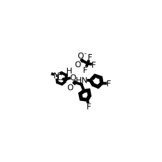 C[N+]12CCC(CC1)[C@@H](OC(=O)C(Nc1ccc(F)cc1)c1ccc(F)cc1)C2.O=C([O-])C(F)(F)F